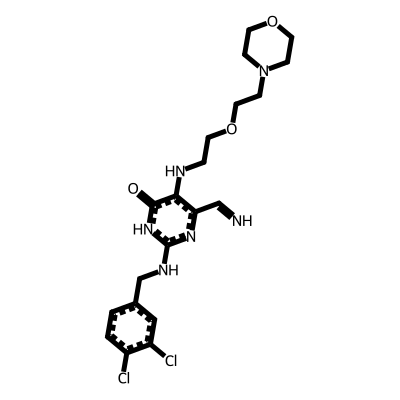 N=Cc1nc(NCc2ccc(Cl)c(Cl)c2)[nH]c(=O)c1NCCOCCN1CCOCC1